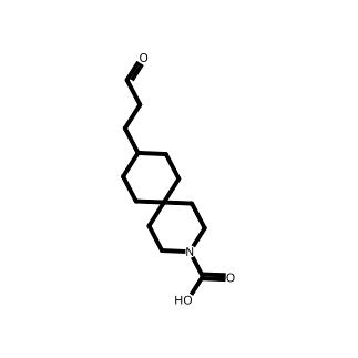 O=CCCC1CCC2(CC1)CCN(C(=O)O)CC2